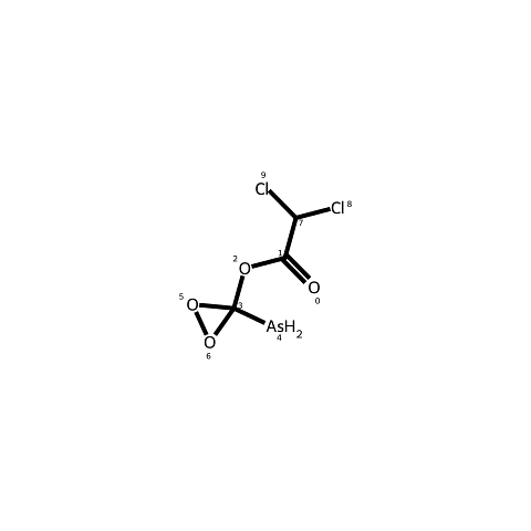 O=C(OC1([AsH2])OO1)C(Cl)Cl